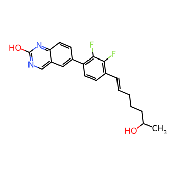 CC(O)CCCC=Cc1ccc(-c2ccc3nc(O)ncc3c2)c(F)c1F